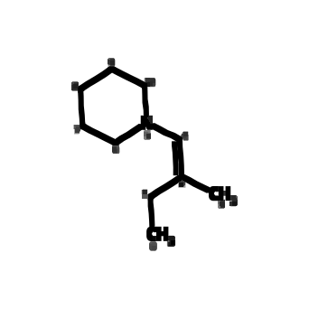 CCC(C)=CN1CCCCC1